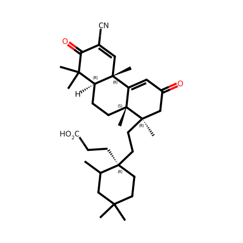 CC1CC(C)(C)CC[C@]1(CCC(=O)O)CC[C@]1(C)CC(=O)C=C2[C@@]3(C)C=C(C#N)C(=O)C(C)(C)[C@@H]3CC[C@]21C